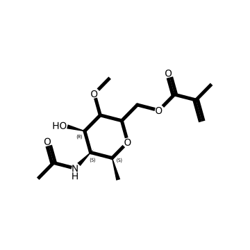 C=C(C)C(=O)OCC1O[C@@H](C)[C@@H](NC(C)=O)[C@@H](O)C1OC